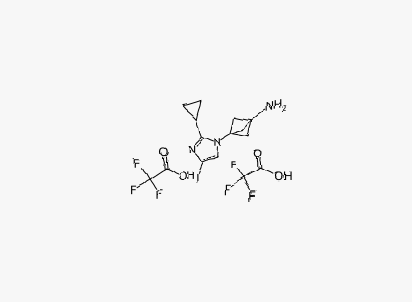 NC12CC(n3cc(I)nc3C3CC3)(C1)C2.O=C(O)C(F)(F)F.O=C(O)C(F)(F)F